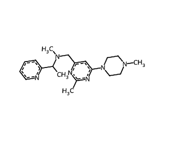 Cc1nc(CN(C)C(C)c2ccccn2)cc(N2CCN(C)CC2)n1